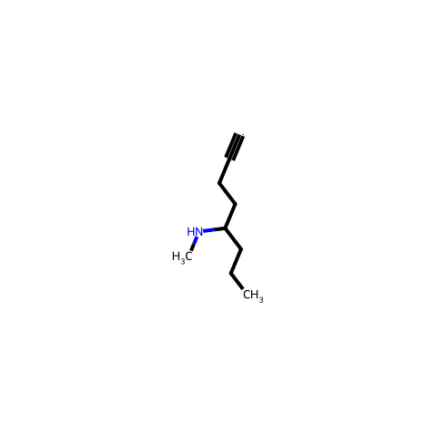 [C]#CCCC(CCC)NC